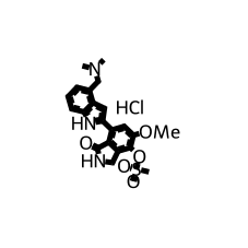 COc1cc(-c2cc3c(CN(C)C)cccc3[nH]2)c2c(c1OS(C)(=O)=O)CNC2=O.Cl